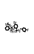 CN(Cc1ccc(F)cc1)C(=O)c1ccc(Br)cc1NS(=O)(=O)c1cccc2nsnc12